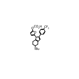 CC(C)(C)C1CCc2c(cc(-c3ccc(C(F)(F)F)cc3)n2-c2ccc(OC(=O)O)o2)C1